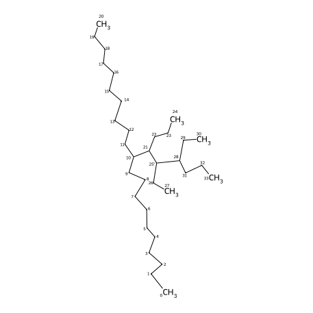 CCCCCCCCCCC(CCCCCCCCCC)C(CCC)[C](CC)C(CC)CCC